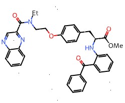 CCN(CCOc1ccc(C[C@H](Nc2ccccc2C(=O)c2ccccc2)C(=O)OC)cc1)C(=O)c1cnc2ccccc2n1